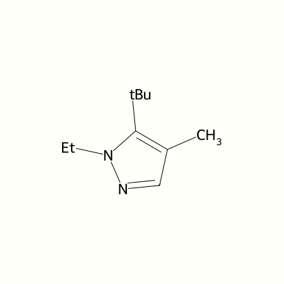 CCn1ncc(C)c1C(C)(C)C